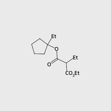 CCOC(=O)C(CC)C(=O)OC1(CC)CCCC1